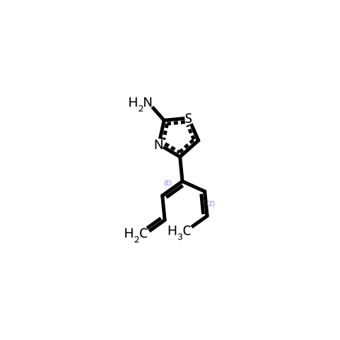 C=C/C=C(\C=C/C)c1csc(N)n1